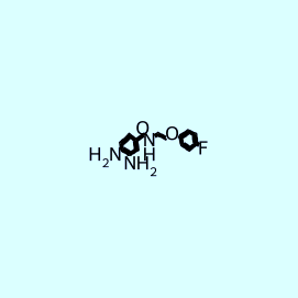 Nc1ccc(C(=O)NCCOc2ccc(F)cc2)cc1N